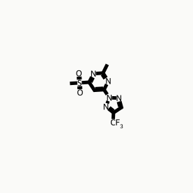 Cc1nc(-n2ncc(C(F)(F)F)n2)cc(S(C)(=O)=O)n1